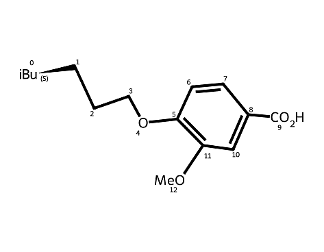 CC[C@H](C)CCCOc1ccc(C(=O)O)cc1OC